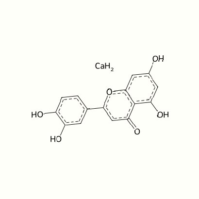 O=c1cc(-c2ccc(O)c(O)c2)oc2cc(O)cc(O)c12.[CaH2]